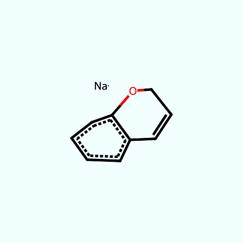 C1=Cc2ccccc2OC1.[Na]